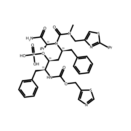 CC(C)c1nc(CN(C)C(=O)N([C@@H](Cc2ccccc2)C[C@H](OP(=O)(O)O)[C@H](Cc2ccccc2)NC(=O)OCc2cncs2)[C@H](C(N)=O)C(C)C)cs1